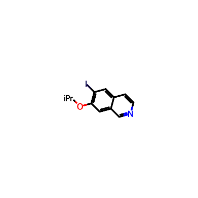 CC(C)Oc1cc2cnccc2cc1I